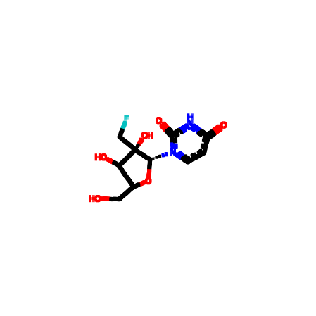 O=c1ccn([C@@H]2OC(CO)C(O)[C@]2(O)CF)c(=O)[nH]1